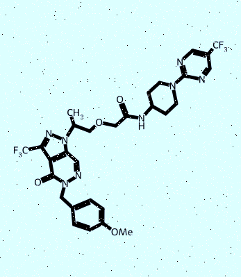 COc1ccc(Cn2ncc3c(c(C(F)(F)F)nn3C(C)COCC(=O)NC3CCN(c4ncc(C(F)(F)F)cn4)CC3)c2=O)cc1